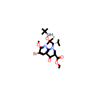 CCOC(=O)c1cn([C@@H](C(C)C)C(C)(C)O[SiH2]C(C)(C)C)c2nc(OC)c(Br)cc2c1=O